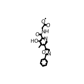 COC(=O)CNC(=O)c1ncc(-c2cnc(-c3ccccc3)o2)c(C)c1O